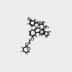 C=C1CC=CC(OCCOC2CCCCO2)=CC1c1nc2c(c(N(C)[C@H](C)C(=O)Nc3cccc(F)c3)n1)CCC2